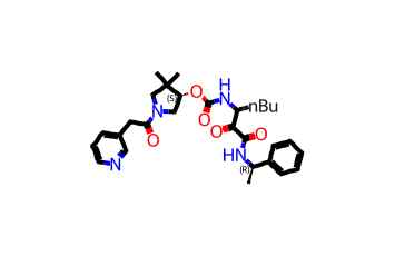 CCCCC(NC(=O)O[C@@H]1CN(C(=O)Cc2cccnc2)CC1(C)C)C(=O)C(=O)N[C@H](C)c1ccccc1